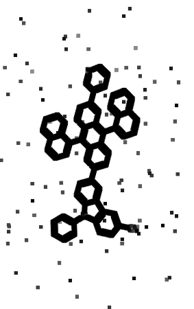 N#Cc1ccc2c(c1)c1cc(-c3ccc4c(-c5cccc6ccccc56)c5cc(-c6cccnc6)ccc5c(-c5cccc6ccccc56)c4c3)ccc1n2-c1ccccc1